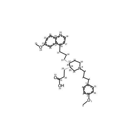 COc1ccc(CCCN2CC[C@@H](CCCc3ccnc4ccc(OC)cc34)[C@@H](CCC(=O)O)C2)cc1